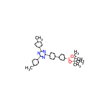 Cc1ccc(-c2nc(-c3ccc(C)cc3)nc(-c3ccc(-c4ccc(B5OC(C)(C)C(C)(C)O5)cc4)cc3)n2)cc1